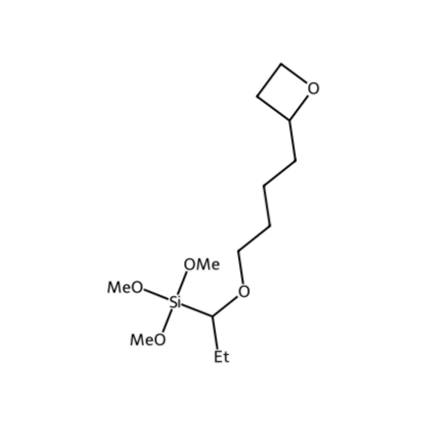 CCC(OCCCCC1CCO1)[Si](OC)(OC)OC